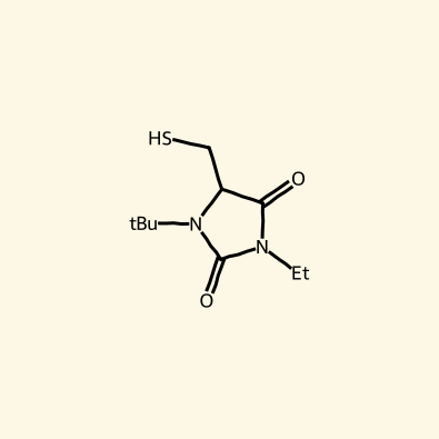 CCN1C(=O)C(CS)N(C(C)(C)C)C1=O